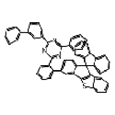 c1ccc(-c2cccc(-c3nc(-c4ccccc4)nc(-c4ccccc4-c4ccc5c(c4)-c4sc6ccccc6c4C54c5ccccc5-c5ccccc54)n3)c2)cc1